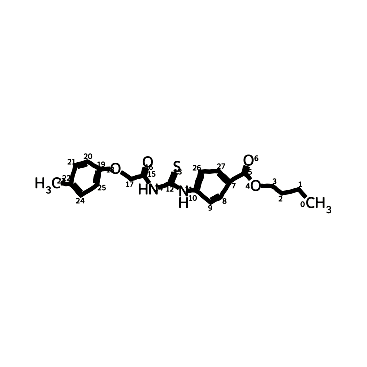 CCCCOC(=O)c1ccc(NC(=S)NC(=O)COc2ccc(C)cc2)cc1